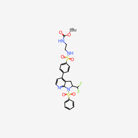 CC(C)(C)OC(=O)NCCNS(=O)(=O)c1ccc(-c2ccnc3c2CC(C(F)F)N3S(=O)(=O)c2ccccc2)cc1